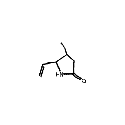 C=CC1NC(=O)CC1C